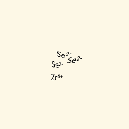 [Se-2].[Se-2].[Se-2].[Zr+4]